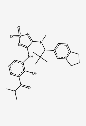 CN(C)C(=O)c1cccc(NC2=NS(=O)(=O)N=C2N(C)C(c2ccc3c(c2)CCC3)C(C)(C)C)c1O